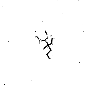 CCCC(C)(CC)N(OC)OC